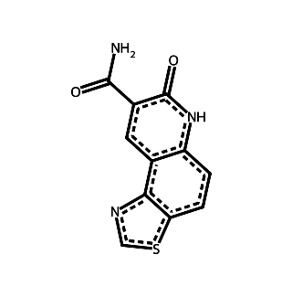 NC(=O)c1cc2c(ccc3scnc32)[nH]c1=O